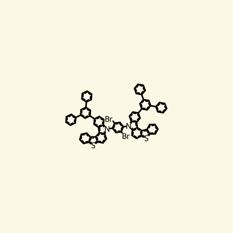 Brc1cc(-n2c3ccc(-c4cc(-c5ccccc5)cc(-c5ccccc5)c4)cc3c3c4c(ccc32)sc2ccccc24)c(Br)cc1-n1c2ccc(-c3cc(-c4ccccc4)cc(-c4ccccc4)c3)cc2c2c3c(ccc21)sc1ccccc13